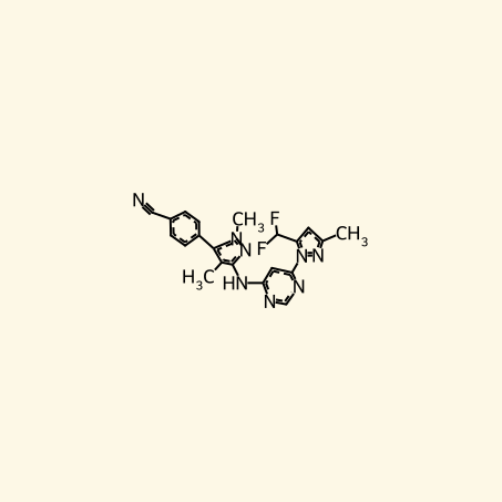 Cc1cc(C(F)F)n(-c2cc(Nc3nn(C)c(-c4ccc(C#N)cc4)c3C)ncn2)n1